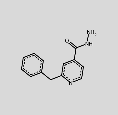 NNC(=O)c1ccnc(Cc2ccccc2)c1